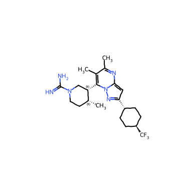 Cc1nc2cc([C@H]3CC[C@H](C(F)(F)F)CC3)nn2c([C@H]2CN(C(=N)N)CC[C@H]2C)c1C